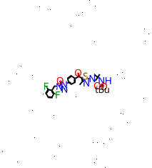 Cc1nc(N2CC(C)(NC(=O)OC(C)(C)C)C2)sc1C(=O)c1ccc(-n2ncn(Cc3c(F)cccc3F)c2=O)cc1